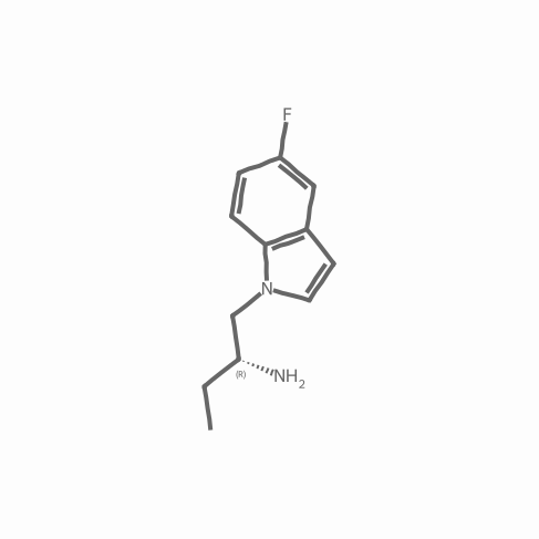 CC[C@@H](N)Cn1ccc2cc(F)ccc21